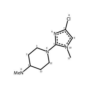 CNC1CCN(c2nc(Cl)cn2C)CC1